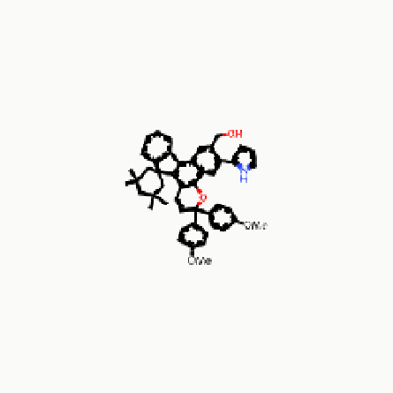 COc1ccc(C2(c3ccc(OC)cc3)C=Cc3c4c(c5cc(CO)c(-c6ccc[nH]6)cc5c3O2)-c2ccccc2C42CC(C)(C)CC(C)(C)C2)cc1